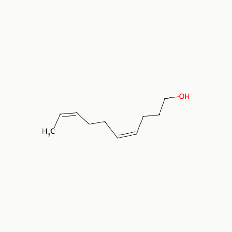 C/C=C\CC/C=C\CCCO